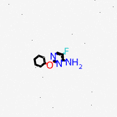 Nc1nc(OC2CCCCC2)ncc1F